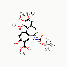 COC(=O)c1cc2c(ccc1=O)-c1c(cc(OC)c(OC)c1OC)CC[C@@H]2NC(=O)OC(C)(C)C